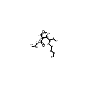 CCCCCC(CC)c1nocc1C(=O)OCC